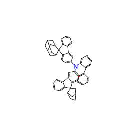 c1ccc(-c2ccccc2N(c2ccc3c(c2)-c2ccccc2C32CC3CCC2C3)c2ccc3c(c2)-c2ccccc2C32C3CC4CC(C3)CC2C4)cc1